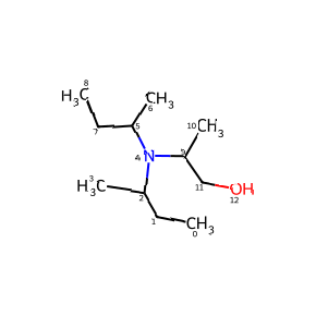 CCC(C)N(C(C)CC)C(C)CO